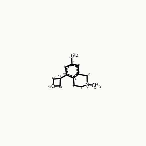 CN1CCc2c(cc(C(C)(C)C)cc2C2COC2)C1